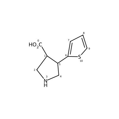 O=C(O)C1CNCC1c1cccs1